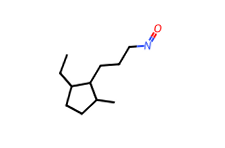 CCC1CCC(C)C1CCCN=O